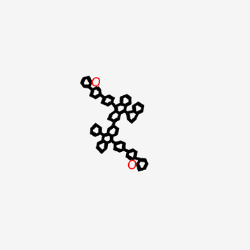 c1ccc(-c2c3ccccc3c(-c3ccc(-c4ccc5c(c4)oc4ccccc45)cc3)c3ccc(-c4ccc5c(-c6ccc(-c7ccc8c(c7)oc7ccccc78)cc6)c6ccccc6c(-c6cccc7ccccc67)c5c4)cc23)cc1